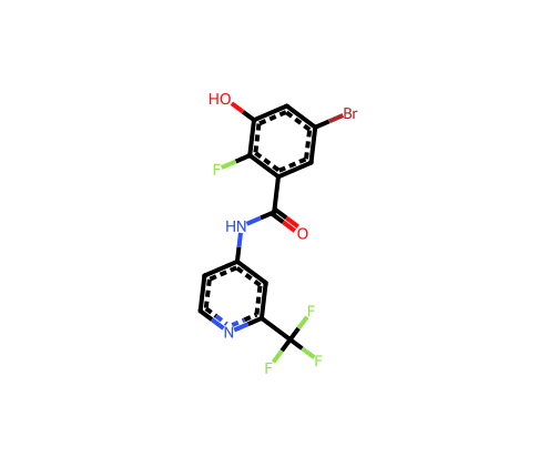 O=C(Nc1ccnc(C(F)(F)F)c1)c1cc(Br)cc(O)c1F